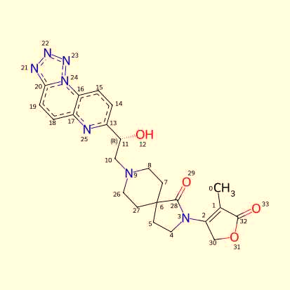 CC1=C(N2CCC3(CCN(C[C@@H](O)c4ccc5c(ccc6nnnn65)n4)CC3)C2=O)COC1=O